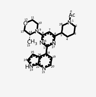 CC(=O)N1CCCC(c2cc(N3CCOC[C@H]3C)nc(-c3ccnc4[nH]ccc34)n2)C1